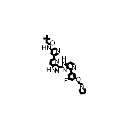 CC(C)(C)CC(=O)Nc1cncc(-c2ccc3[nH]nc(-c4nc5c(-c6cc(F)cc(OCCN7CCCC7)c6)nccc5[nH]4)c3n2)c1